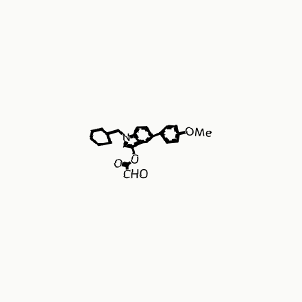 COc1ccc(-c2ccc3c(c2)c(OC(=O)C=O)cn3CC2CCCCC2)cc1